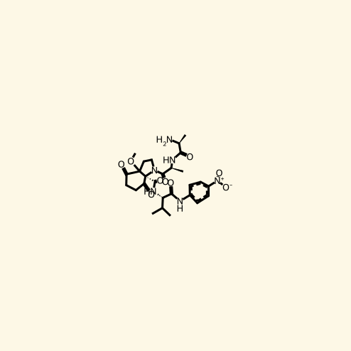 COC12CCN(C(=O)[C@H](C)NC(=O)[C@H](C)N)[C@@]1(C(=O)N[C@H](C(=O)Nc1ccc([N+](=O)[O-])cc1)C(C)C)C(=O)CCC2=O